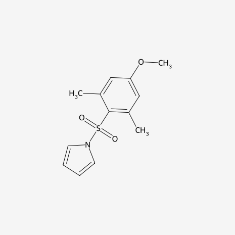 COc1cc(C)c(S(=O)(=O)n2cccc2)c(C)c1